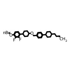 C=CCCC1CCC(c2ccc(COC3CCC(c4ccc(OCCCC)c(F)c4F)CC3)cc2)CC1